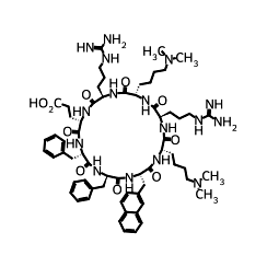 CN(C)CCCC[C@@H]1NC(=O)[C@H](Cc2ccc3ccccc3c2)NC(=O)[C@@H](Cc2ccccc2)NC(=O)[C@H](Cc2ccccc2)NC(=O)[C@H](CCC(=O)O)NC(=O)[C@@H](CCCNC(=N)N)NC(=O)[C@H](CCCCN(C)C)NC(=O)[C@@H](CCCNC(=N)N)NC1=O